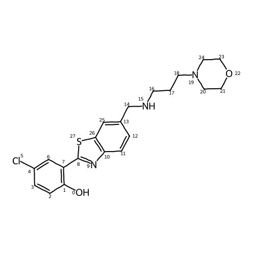 Oc1ccc(Cl)cc1-c1nc2ccc(CNCCCN3CCOCC3)cc2s1